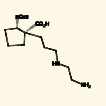 CCCCCCCC[C@H]1CCC[C@@]1(CCCNCCN)C(=O)O